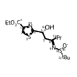 CCOC(=O)c1csc([C@H](O)C/C(=N/[S+]([O-])C(C)(C)C)C(C)C)n1